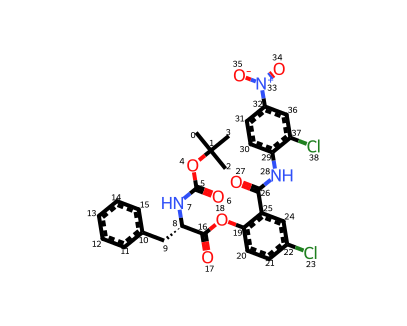 CC(C)(C)OC(=O)N[C@@H](Cc1ccccc1)C(=O)Oc1ccc(Cl)cc1C(=O)Nc1ccc([N+](=O)[O-])cc1Cl